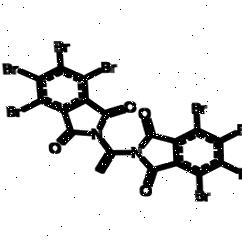 C=C(N1C(=O)c2c(Br)c(Br)c(Br)c(Br)c2C1=O)N1C(=O)c2c(Br)c(Br)c(Br)c(Br)c2C1=O